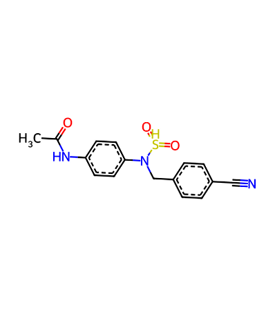 CC(=O)Nc1ccc(N(Cc2ccc(C#N)cc2)[SH](=O)=O)cc1